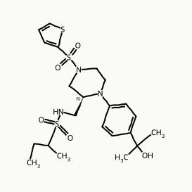 CCC(C)S(=O)(=O)NC[C@H]1CN(S(=O)(=O)c2cccs2)CCN1c1ccc(C(C)(C)O)cc1